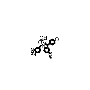 CCOc1ccc2c(c1)c(-c1ccc(OC)cc1)c(OC(=O)O)n2Cc1ccc2nsnc2c1